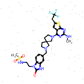 CNc1nc(N2CCC3(CCN(Cc4ccc5c(c4)[nH]c(=O)n5CCNS(C)(=O)=O)C3)C2)c2cc(CC(F)(F)F)sc2n1